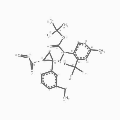 CCc1cccc([C@]2(CN(C(=O)OC(C)(C)C)c3cnc(C)nc3C(F)(F)F)C[C@H]2C(=O)N=O)c1